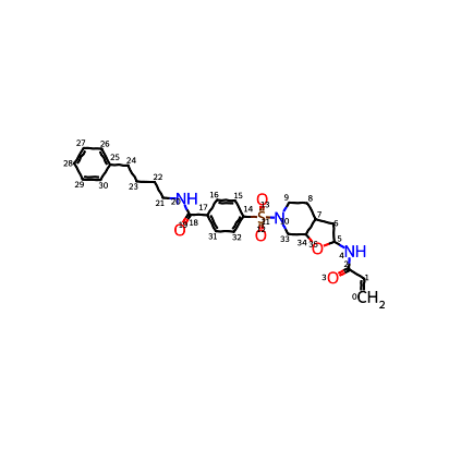 C=CC(=O)NC1CC2CCN(S(=O)(=O)c3ccc(C(=O)NCCCCc4ccccc4)cc3)CC2O1